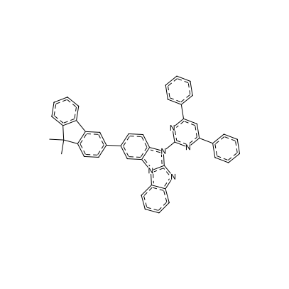 CC1(C)c2ccccc2-c2cc(-c3ccc4c(c3)n3c5ccccc5nc3n4-c3nc(-c4ccccc4)cc(-c4ccccc4)n3)ccc21